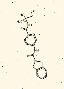 CC(C)C[C@@](C)(O)NC(=O)c1ccc(NC(=O)N2Cc3ccccc3C2)cc1